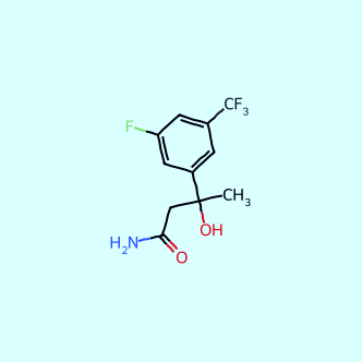 CC(O)(CC(N)=O)c1cc(F)cc(C(F)(F)F)c1